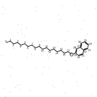 CCCCCCCCCCCCCCCCCCOc1ccc2ccccc2c1